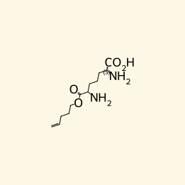 C=CCCCOC(=O)C(N)CCC[C@H](N)C(=O)O